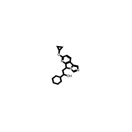 OC(CC1c2nc(OC3CC3)ccc2-c2cncn21)C1CCCCC1